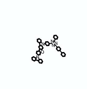 c1ccc(-c2ccc(-c3nc(-c4ccccc4)nc(-c4ccc(-n5c6ccccc6c6cc7c(cc65)oc5cc(-n6c8ccccc8c8ccccc86)ccc57)cc4)n3)cc2)cc1